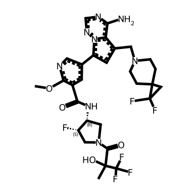 COc1ncc(-c2cc(CN3CCC4(CC3)CC4(F)F)c3c(N)ncnn23)cc1C(=O)N[C@@H]1CN(C(=O)C(C)(O)C(F)(F)F)C[C@@H]1F